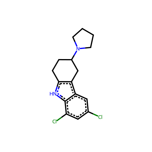 Clc1cc(Cl)c2[nH]c3c(c2c1)CC(N1CCCC1)CC3